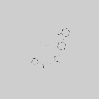 O=C(NCc1cn(-c2ccc(-n3ccccc3=O)cc2NCCO)nn1)c1ccc(Cl)s1